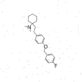 CN(C)C1(CCc2ccc(OCc3ccc(F)cc3)cc2)CCCCC1